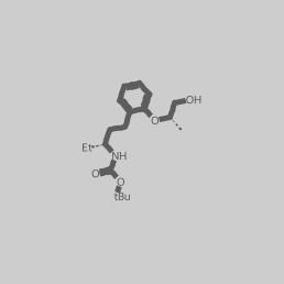 CC[C@H](CCc1ccccc1O[C@@H](C)CO)NC(=O)OC(C)(C)C